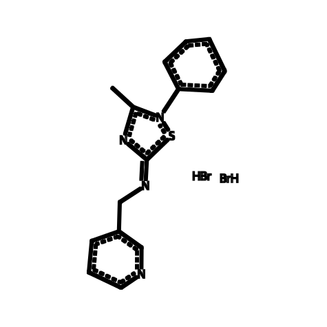 Br.Br.Cc1nc(=NCc2cccnc2)sn1-c1ccccc1